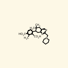 Cc1c(C(=O)O)ccc(C2Cc3nc(CN4CCCCC4)ncc3CC2(C)C)c1C(=O)O